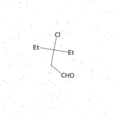 CCC(Cl)(CC)CC=O